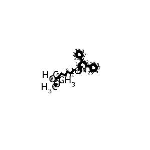 COC(=O)C(C)(C)CCCCCOc1cc(-c2ccccc2)cc(-c2ccccc2)n1